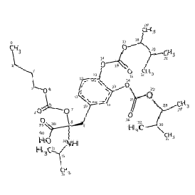 CCCCOC(=O)O[C@](Cc1ccc(OC(=O)OC(C)C(C)C)c(OC(=O)OC(C)C(C)C)c1)(NC(C)C)C(=O)O